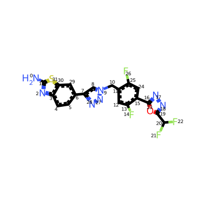 Nc1nc2ccc(-c3cn(Cc4cc(F)c(-c5nnc(C(F)F)o5)cc4F)nn3)cc2s1